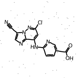 N#Cc1cnc2c(Nc3ccc(C(=O)O)cn3)cc(Cl)nn12